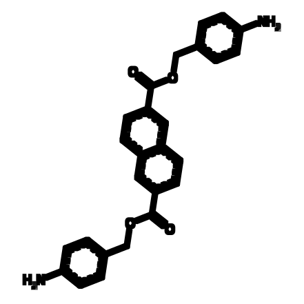 Nc1ccc(COC(=O)c2ccc3cc(C(=O)OCc4ccc(N)cc4)ccc3c2)cc1